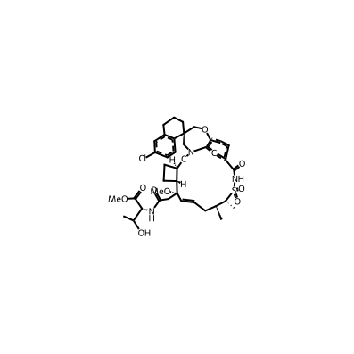 COC(=O)[C@H](NC(=O)C[C@]1(OC)/C=C/C[C@H](C)[C@@H](C)S(=O)(=O)NC(=O)c2ccc3c(c2)N(C[C@@H]2CC[C@H]21)C[C@@]1(CCCc2cc(Cl)ccc21)CO3)C(C)O